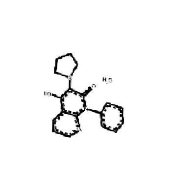 O.O=c1c(N2CCCC2)c(O)c2cccnc2n1-c1ccccc1